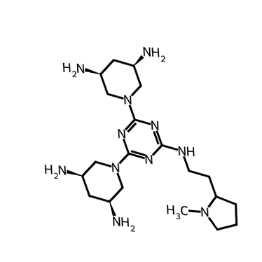 CN1CCCC1CCNc1nc(N2C[C@H](N)C[C@H](N)C2)nc(N2C[C@H](N)C[C@H](N)C2)n1